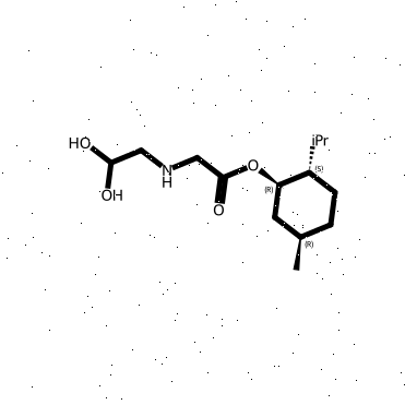 CC(C)[C@@H]1CC[C@@H](C)C[C@H]1OC(=O)CNCC(O)O